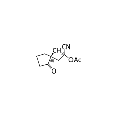 CC(=O)OC(C#N)C[C@@]1(C)CCCC1=O